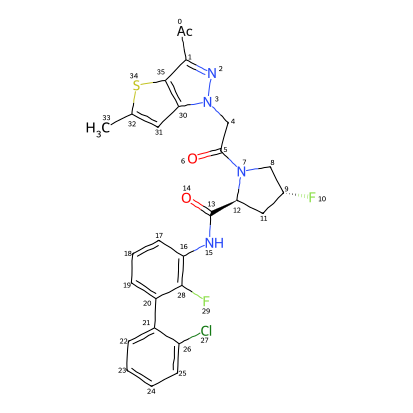 CC(=O)c1nn(CC(=O)N2C[C@H](F)C[C@H]2C(=O)Nc2cccc(-c3ccccc3Cl)c2F)c2cc(C)sc12